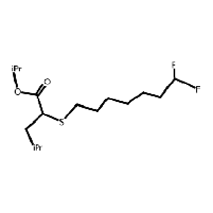 CC(C)CC(SCCCCCCC(F)F)C(=O)OC(C)C